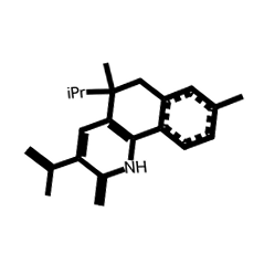 C=C(C)C1=CC2=C(NC1=C)c1ccc(C)cc1CC2(C)C(C)C